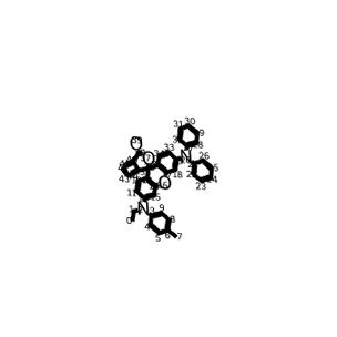 CCN(c1ccc(C)cc1)c1ccc2c(c1)Oc1cc(N(c3ccccc3)c3ccccc3)ccc1C21OC(=O)c2ccccc21